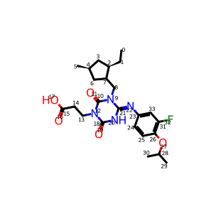 CC[C@@H]1C[C@H](C)CC1Cn1c(=O)n(CCC(=O)O)c(=O)[nH]/c1=N\c1ccc(OC(C)C)c(F)c1